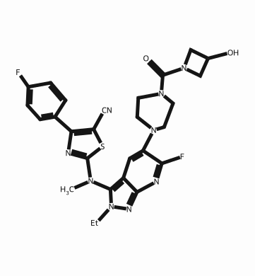 CCn1nc2nc(F)c(N3CCN(C(=O)N4CC(O)C4)CC3)cc2c1N(C)c1nc(-c2ccc(F)cc2)c(C#N)s1